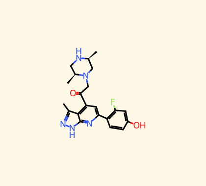 Cc1n[nH]c2nc(-c3ccc(O)cc3F)cc(C(=O)CN3C[C@H](C)NC[C@@H]3C)c12